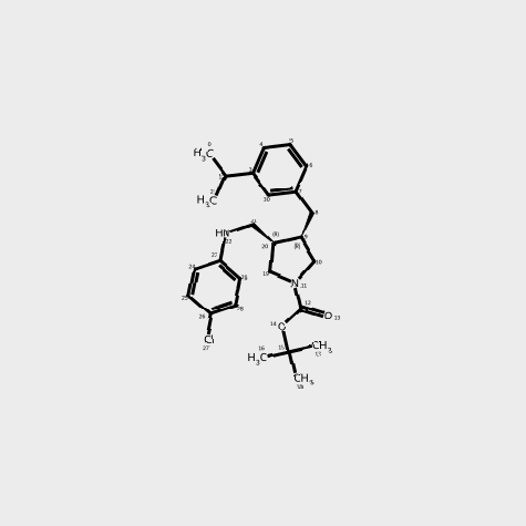 CC(C)c1cccc(C[C@H]2CN(C(=O)OC(C)(C)C)C[C@H]2CNc2ccc(Cl)cc2)c1